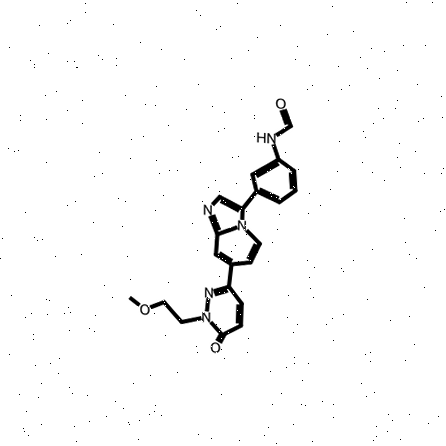 COCCn1nc(-c2ccn3c(-c4cccc(NC=O)c4)cnc3c2)ccc1=O